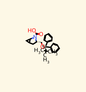 CC(C)(C)[Si](OC[C@@H]1CC2CC2N1C(=O)O)(c1ccccc1)c1ccccc1